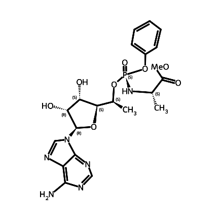 COC(=O)[C@H](C)N[P@@](=O)(Oc1ccccc1)O[C@@H](C)[C@H]1O[C@@H](n2cnc3c(N)ncnc32)[C@H](O)[C@@H]1O